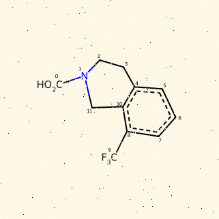 O=C(O)N1CCc2cccc(C(F)(F)F)c2C1